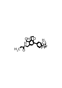 C=CC(=O)NCc1cc(-c2ccc(S(C)(F)(F)(F)F)cc2)c2c(c1CO)CCO2